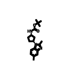 Cc1ccc2c(c1)nc(C)n2[C@@H]1CC[C@H](NC(=O)OC(C)(C)C)C1